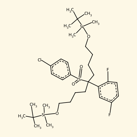 CC(C)(C)[Si](C)(C)OCCCCC(CCCCO[Si](C)(C)C(C)(C)C)(c1cc(F)ccc1F)S(=O)(=O)c1ccc(Cl)cc1